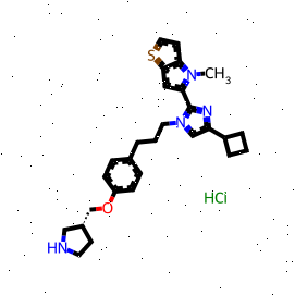 Cl.Cn1c(-c2nc(C3CCC3)cn2CCCc2ccc(OC[C@@H]3CCNC3)cc2)cc2sccc21